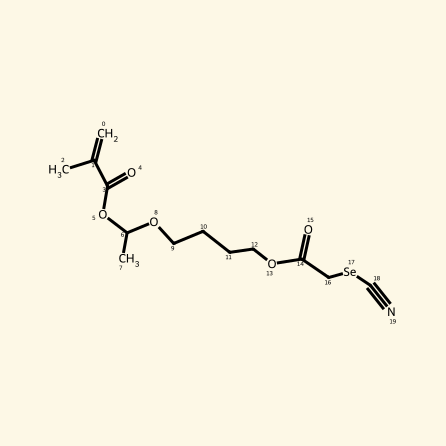 C=C(C)C(=O)OC(C)OCCCCOC(=O)C[Se]C#N